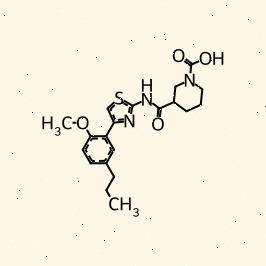 CCCc1ccc(OC)c(-c2csc(NC(=O)C3CCCN(C(=O)O)C3)n2)c1